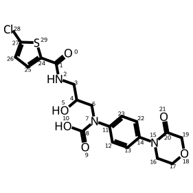 O=C(NCC(O)CN(C(=O)O)c1ccc(N2CCOCC2=O)cc1)c1ccc(Cl)s1